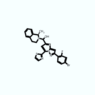 C[C@@H]1c2ccccc2CCN1C(O)c1cc(-c2nccs2)n2nc(-c3ccc(Br)cc3F)cc2n1